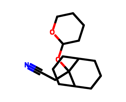 N#CCC1(OC2CCCCO2)C2CCCC1CCC2